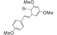 COC1=CC(/C=C/c2ccc(OC)cc2)C(Br)C(OC)=C1